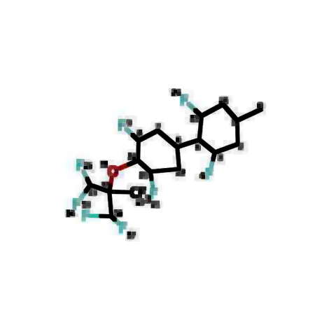 CC1CC(F)C(C2CC(F)C(OC(C(F)F)(C(F)F)C(F)(F)F)C(F)C2)C(F)C1